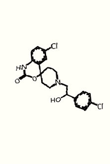 O=C1Nc2ccc(Cl)cc2C2(CCN(CC(O)c3ccc(Cl)cc3)CC2)O1